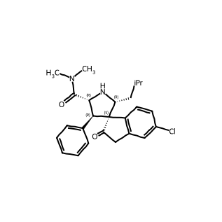 CC(C)C[C@H]1N[C@@H](C(=O)N(C)C)[C@H](c2ccccc2)[C@@]12C(=O)Cc1cc(Cl)ccc12